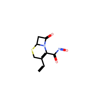 C=CC1=C(C(=O)N=O)N2C(=O)CC2SC1